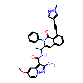 COc1ccn2nc(N)c(C(=O)N[C@@H](C)c3cc4cccc(C#Cc5cnn(C)c5)c4c(=O)n3-c3ccccc3)c2c1